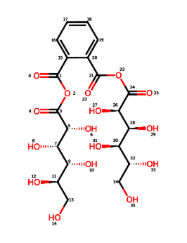 O=C(OC(=O)[C@H](O)[C@@H](O)[C@H](O)[C@H](O)CO)c1ccccc1C(=O)OC(=O)[C@H](O)[C@@H](O)[C@H](O)[C@H](O)CO